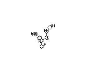 Cl.Cl.Fc1ccccc1-c1cc(-c2cncc(-c3cnn(C4CCNCC4)c3)c2)c2cccnc2n1